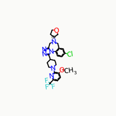 COc1ccc(C(F)(F)F)nc1N1CCC(c2nnc3n2-c2ccc(Cl)cc2CN([C@H]2CCOC2)C3)CC1